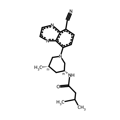 CC(C)CC(=O)N[C@@H]1C[C@H](C)CN(c2ccc(C#N)c3nccnc23)C1